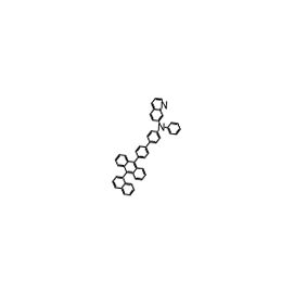 c1ccc(N(c2ccc(-c3ccc(-c4c5ccccc5c(-c5cccc6ccccc56)c5ccccc45)cc3)cc2)c2ccc3cccnc3c2)cc1